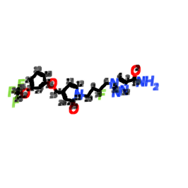 NC(=O)c1cn(CC(F)CCn2ccc(COc3cccc(OC(F)(F)F)c3)cc2=O)nn1